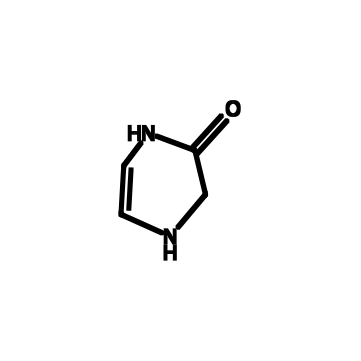 O=C1CNC=CN1